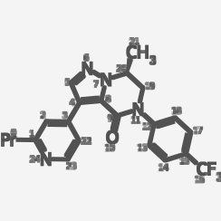 CC(C)c1cc(-c2cnn3c2C(=O)N(c2ccc(C(F)(F)F)cc2)C[C@@H]3C)ccn1